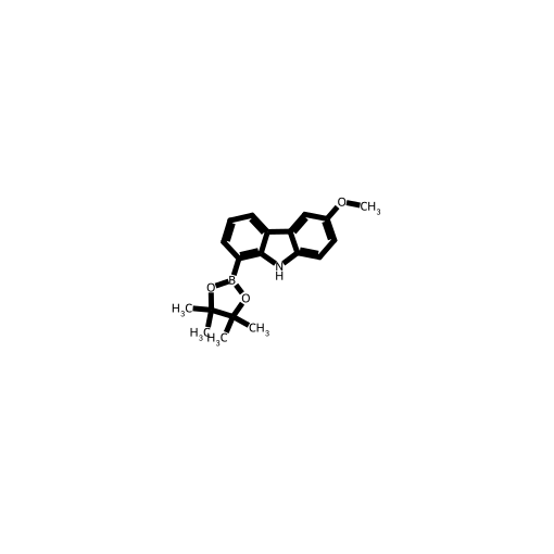 COc1ccc2[nH]c3c(B4OC(C)(C)C(C)(C)O4)cccc3c2c1